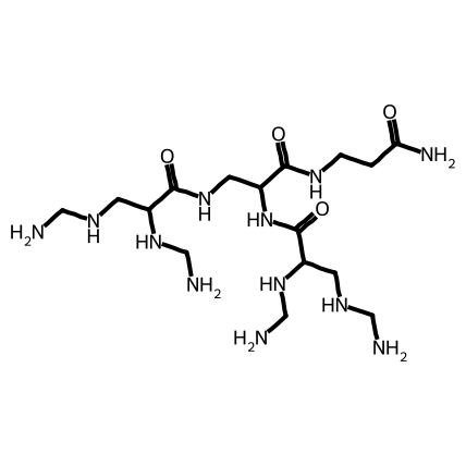 NCNCC(NCN)C(=O)NCC(NC(=O)C(CNCN)NCN)C(=O)NCCC(N)=O